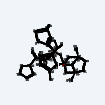 Cc1csc([C@H](CCN2[C@@H]3CC[C@H]2C[C@H](n2c(C)nnc2C(C)C)C3)NC(=O)C2CCCC2)c1